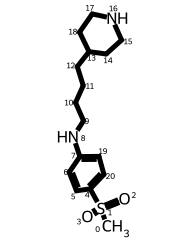 CS(=O)(=O)c1ccc(NCCCCC2CCNCC2)cc1